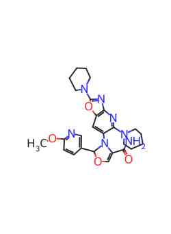 COc1ccc(C2OC=C(C(N)=O)N2c2cc3oc(N4CCCCC4)nc3nc2N2CCCCC2)cn1